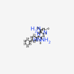 CC/N=C1/CC(N)(NC)C(c2ccc(C3CCCCC3)cc2)=N/C1=C(/C)N